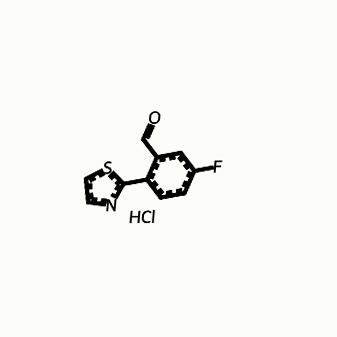 Cl.O=Cc1cc(F)ccc1-c1nccs1